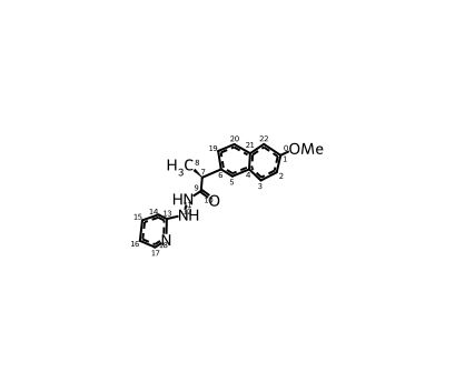 COc1ccc2cc([C@H](C)C(=O)NNc3ccccn3)ccc2c1